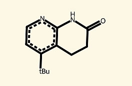 CC(C)(C)c1ccnc2c1CCC(=O)N2